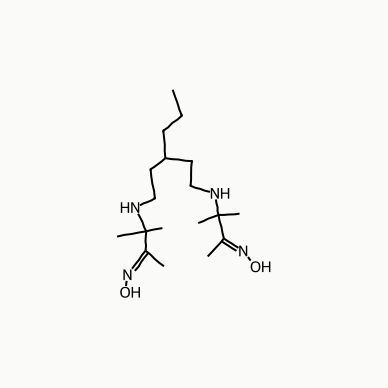 CCCC(CCNC(C)(C)C(C)=NO)CCNC(C)(C)C(C)=NO